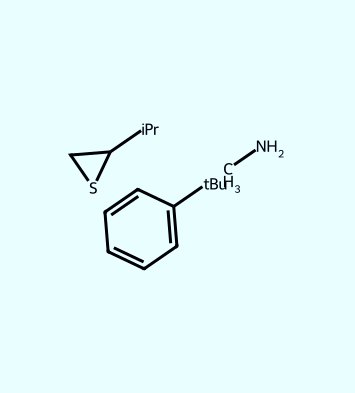 CC(C)(C)c1ccccc1.CC(C)C1CS1.CN